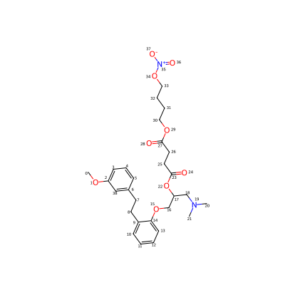 COc1cccc(CCc2ccccc2OCC(CN(C)C)OC(=O)CCC(=O)OCCCCO[N+](=O)[O-])c1